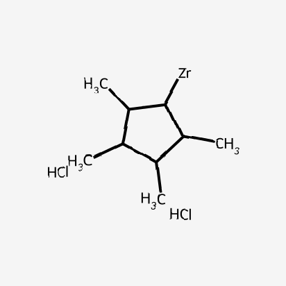 CC1C(C)C(C)[CH]([Zr])C1C.Cl.Cl